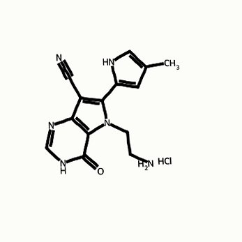 Cc1c[nH]c(-c2c(C#N)c3nc[nH]c(=O)c3n2CCN)c1.Cl